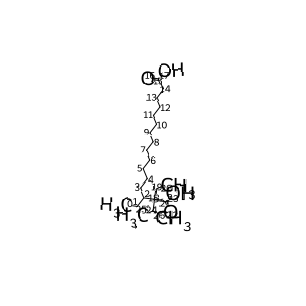 CCC(CCCCCCCCCCCCC(=O)O)C(CC)(C(=O)O)C(C)C